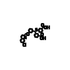 O=C(O)c1cccc(SC(c2cccc(OCc3ccc4ccc(Cl)cc4n3)c2)c2cccc(C(=O)O)c2)c1